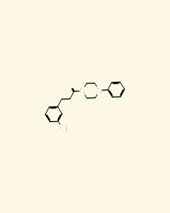 O=C(CCc1cccc(Cl)c1)N1CCN(c2ccccc2)CC1